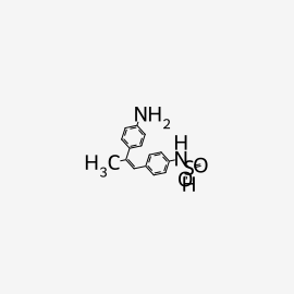 CC(=Cc1ccc(N[SH](=O)=O)cc1)c1ccc(N)cc1